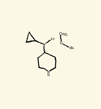 CC(=O)N(C1CCNCC1)C1CC1.CC(C)(C)OC=O